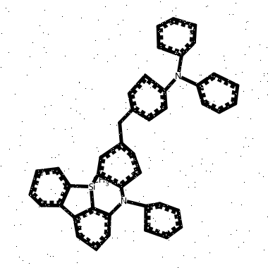 C[Si]12c3ccccc3-c3cccc(c31)N(c1ccccc1)c1ccc(Cc3ccc(N(c4ccccc4)c4ccccc4)cc3)cc12